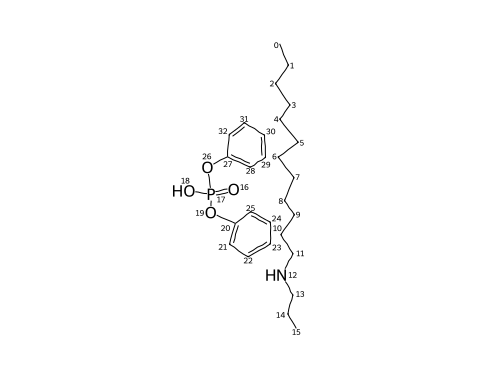 CCCCCCCCCCCCNCCC.O=P(O)(Oc1ccccc1)Oc1ccccc1